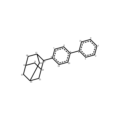 [c]1cccc(-c2ccc(C3C4CC5CC(C4)CC3C5)cc2)c1